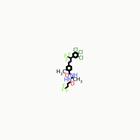 Cc1cc(/C=C/C(c2cc(Cl)c(Cl)c(Cl)c2)C(F)(F)F)ccc1C(=O)N[C@H](C)NC(=O)CCC(F)(F)F